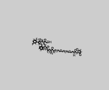 CC(C)(C)[C@H](c1cc(-c2cc(F)ccc2F)cn1Cc1ccccc1)N(CC[C@H](N)C(=O)N[C@H](CNC(=O)CCOCCOCCOCCOCCNC(=O)CN1C(=O)C=CC1=O)C(=O)O)C(=O)CO